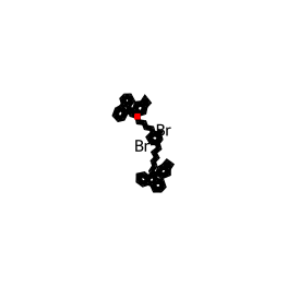 Brc1cc(CCCCCCC2(c3ccc4c(c3)CC4)c3ccccc3-c3ccccc32)c(Br)cc1CCCCCCC1(c2ccc3c(c2)CC3)c2ccccc2-c2ccccc21